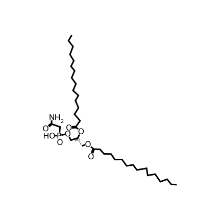 CCCCCCCCCCCCCCCC(=O)OC[C@H](COP(=O)(O)CC(N)=O)OC(=O)CCCCCCCCCCCCCCC